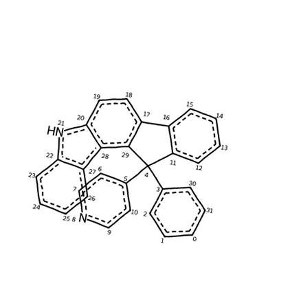 c1ccc(C2(c3ccncc3)c3ccccc3-c3ccc4[nH]c5ccccc5c4c32)cc1